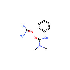 CN(C)C(=O)Nc1ccccc1.NC(N)=O